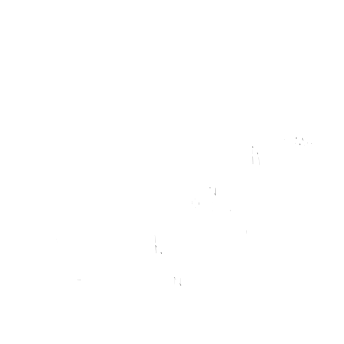 COC(=O)NCC1CCN(S(=O)(=O)c2cc(-c3ncc(-c4ccc(Br)c(F)c4)[nH]3)ccc2Cl)C1